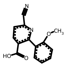 COc1ccccc1-c1nc(C#N)ccc1C(=O)O